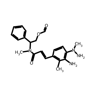 Cc1c(/C=C/C(=O)N(C)C(COC=O)c2ccccc2)ccc(N(C)N)c1N